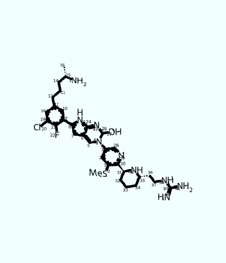 CSc1cc(N2C=c3cc(-c4cc(CCC[C@H](C)N)cc(Cl)c4F)[nH]c3=NC2O)cnc1[C@@H]1CCC[C@@H](CCNC(=N)N)N1